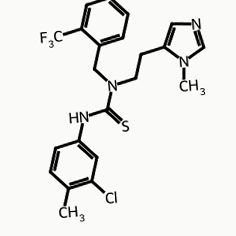 Cc1ccc(NC(=S)N(CCc2cncn2C)Cc2ccccc2C(F)(F)F)cc1Cl